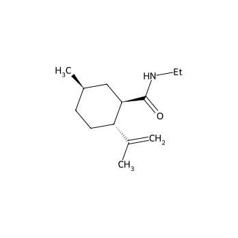 C=C(C)[C@@H]1CC[C@@H](C)C[C@H]1C(=O)NCC